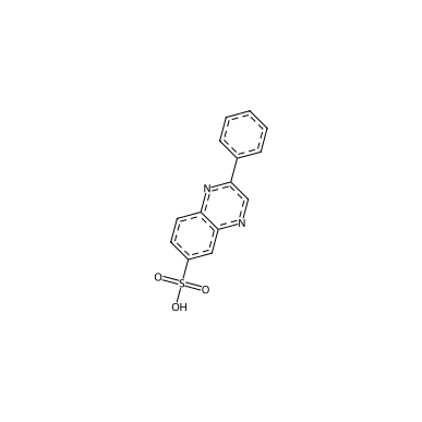 O=S(=O)(O)c1ccc2nc(-c3ccccc3)cnc2c1